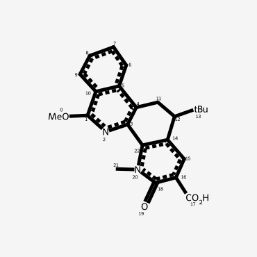 COc1nc2c(c3ccccc13)CC(C(C)(C)C)c1cc(C(=O)O)c(=O)n(C)c1-2